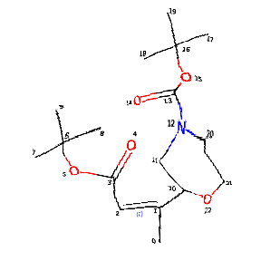 C/C(=C/C(=O)OC(C)(C)C)C1CN(C(=O)OC(C)(C)C)CCO1